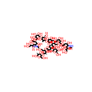 CC(=O)N[C@H]1C([C@H](O)[C@H](O)CO)O[C@@](OCC2O[C@@H](O[C@H]3C(O)C(C)[C@H](OC4[C@@H](OCC5O[C@@H](O[C@@H]6C(CO)O[C@@H](O[C@@H]7C(CO)OC(O)[C@@H](C)C7O)[C@@H](C)C6O)[C@H](O)C(O[C@H]6O[C@H](CO)[C@@H](O)C(O)C6O[C@@H]6OC(CO)[C@@H](O[C@@H]7OC(CO[C@]8(C(=O)O)C[C@@H](O)[C@@H](NC(C)=O)C([C@H](O)[C@H](O)CO)O8)[C@H](O)[C@H](O)C7O)C(O)[C@@H]6C)[C@@H]5O)OC(CO)[C@@H](O)[C@@H]4O)O[C@H]3CO)[C@@H](O)C(O)[C@H]2O)(C(=O)O)C[C@H]1O